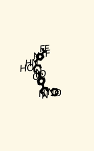 O=S(=O)(c1ccc(-c2cnnc(N3CCOCC3)c2)cc1)N1CC[C@@H](Nc2ccc(C(F)(F)F)cn2)[C@@H](O)C1